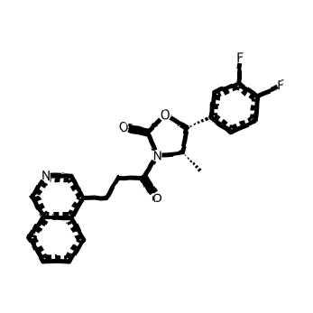 C[C@H]1[C@@H](c2ccc(F)c(F)c2)OC(=O)N1C(=O)CCc1cncc2ccccc12